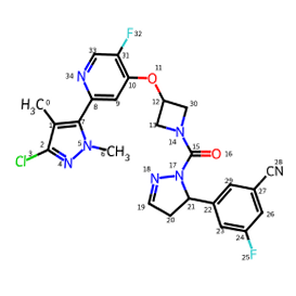 Cc1c(Cl)nn(C)c1-c1cc(OC2CN(C(=O)N3N=CCC3c3cc(F)cc(C#N)c3)C2)c(F)cn1